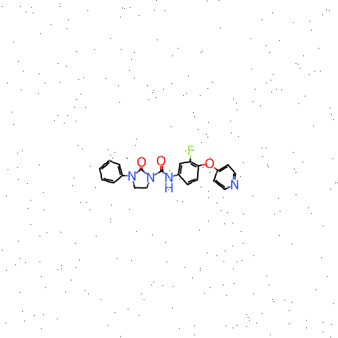 O=C(Nc1ccc(Oc2ccncc2)c(F)c1)N1CCN(c2ccccc2)C1=O